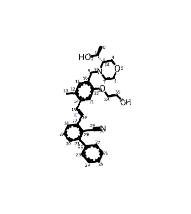 C=C(O)[C@@H]1COCCN1Cc1cc(C)c(/C=C/c2cccc(-c3ccccc3)c2C#N)cc1OCCO